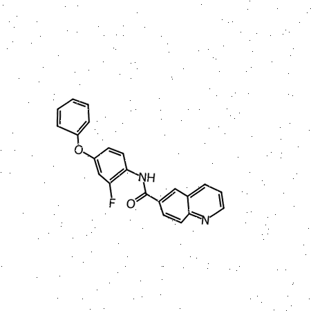 O=C(Nc1ccc(Oc2ccccc2)cc1F)c1ccc2ncccc2c1